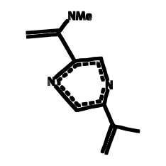 C=C(C)c1cnc(C(=C)NC)cn1